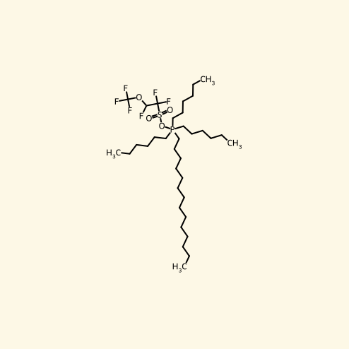 CCCCCCCCCCCCCCP(CCCCCC)(CCCCCC)(CCCCCC)OS(=O)(=O)C(F)(F)C(F)OC(F)(F)F